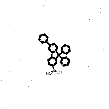 OB(O)c1ccc2c(c1)C(c1ccccc1)(c1ccccc1)c1ccc(-c3ccccc3)cc1-2